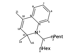 CCCCCCC(CCCCC)N1c2ccccc2C(C)=CC1(C)C